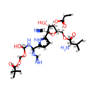 CCC(=O)O[C@H]1[C@@H](O)[C@](C#N)(c2ccc(/C(=N\C=N)NC(O)OCOC(=O)C(C)(C)C)[nH]2)O[C@@H]1COC(=O)[C@@H](N)C(C)C